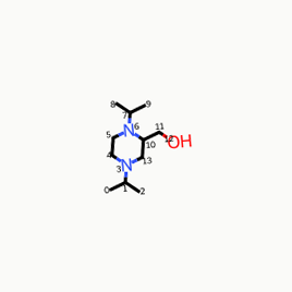 CC(C)N1CCN(C(C)C)C(CO)C1